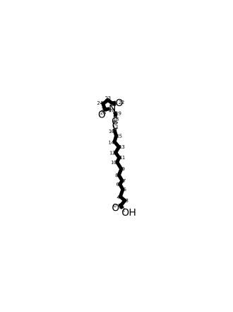 O=C(O)CCCCCCCCCCCCCCCCCN1C(=O)CCC1=O